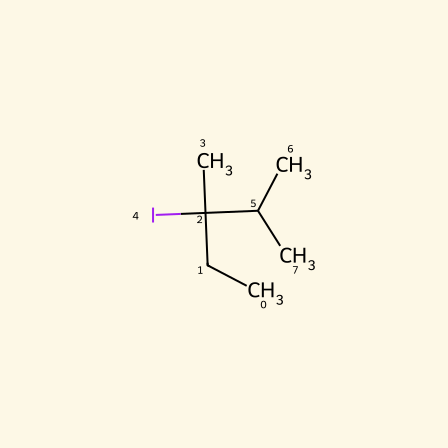 CCC(C)(I)C(C)C